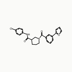 O=C(Nc1ccc(Cl)cc1)C1CCCN(C(=O)c2cccc(-c3ccco3)c2)C1